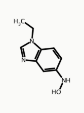 CCn1cnc2cc(NO)ccc21